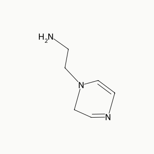 NCCN1C=CN=CC1